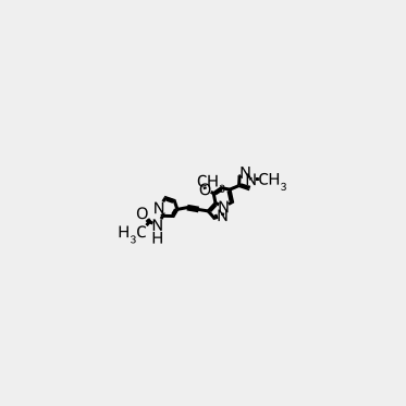 COc1cc(-c2cnn(C)c2)cn2ncc(C#Cc3ccnc(NC(C)=O)c3)c12